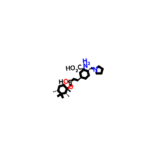 C[C@@H]1C[C@@H]2OB(CC[C@@H]3CC[C@@H](CN4CCCC4)[C@@](N)(C(=O)O)C3)O[C@]2(C)[C@H](C)C1(C)C